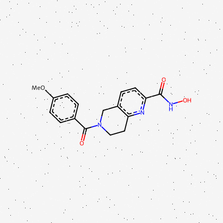 COc1ccc(C(=O)N2CCc3nc(C(=O)NO)ccc3C2)cc1